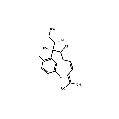 C/C(=C\C=C/CC(C)[C@@](C#N)(c1cc(Cl)ccc1F)[C@@H](N)CC(C)(C)C)C(F)(F)F